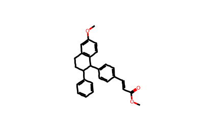 COC(=O)C=Cc1ccc(C2c3ccc(OC)cc3CCC2c2ccccc2)cc1